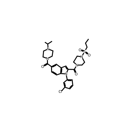 CCCS(=O)(=O)N1CCN(C(=O)c2cc3cc(C(=O)N4CCN(C(C)C)CC4)ccc3n2-c2cccc(Cl)c2)CC1